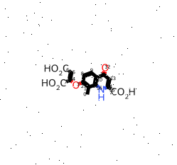 Cc1c(OC(=CC(=O)O)C(=O)O)ccc2c(=O)cc(C(=O)O)[nH]c12